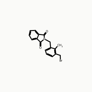 Cc1c(CBr)cccc1CN1C(=O)c2ccccc2C1=O